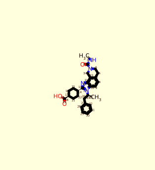 CNC(=O)N1CCc2ccc3c(nc([C@H]4CC[C@H](C(=O)O)CC4)n3[C@@H](C)Cc3ccccc3)c2C1